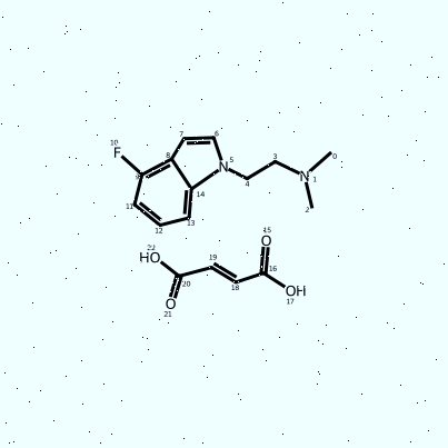 CN(C)CCn1ccc2c(F)cccc21.O=C(O)/C=C/C(=O)O